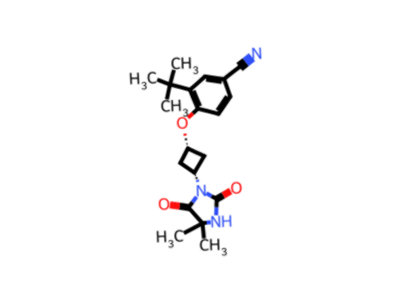 CC1(C)NC(=O)N([C@H]2C[C@@H](Oc3ccc(C#N)cc3C(C)(C)C)C2)C1=O